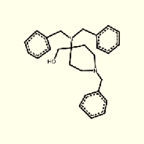 OCC1(N(Cc2ccccc2)Cc2ccccc2)CCN(Cc2ccccc2)CC1